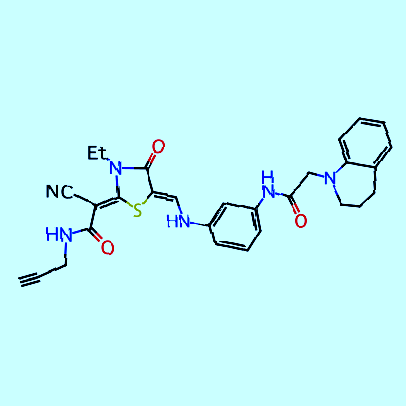 C#CCNC(=O)C(C#N)=c1sc(=CNc2cccc(NC(=O)CN3CCCc4ccccc43)c2)c(=O)n1CC